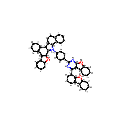 c1ccc2c(c1)ccc1c3c4ccccc4c4c5ccccc5oc4c3n(-c3ccc(-c4nc(-c5cccc6c5oc5ccccc56)c5c(n4)oc4ccccc45)cc3)c21